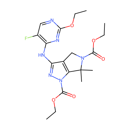 CCOC(=O)N1Cc2c(Nc3nc(OCC)ncc3F)nn(C(=O)OCC)c2C1(C)C